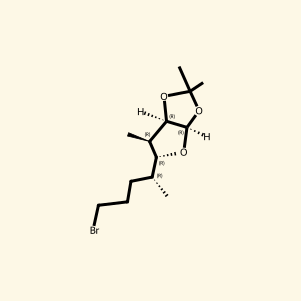 C[C@H]1[C@H]2OC(C)(C)O[C@H]2O[C@@H]1[C@H](C)CCCBr